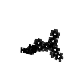 CC1(C)c2ccccc2-c2ccc(N(c3ccc(-c4ccccc4)cc3)c3ccc(-c4ccc(BOC(C)(C)C(C)(C)O)c5ccccc45)cc3)cc21